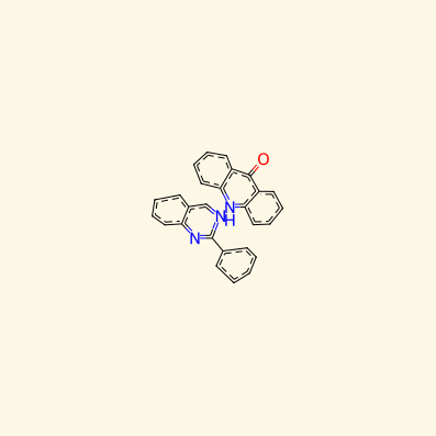 O=c1c2ccccc2[nH]c2ccccc12.c1ccc(-c2ncc3ccccc3n2)cc1